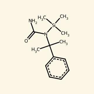 CC(C)(c1ccccc1)N(C(N)=O)[Si](C)(C)C